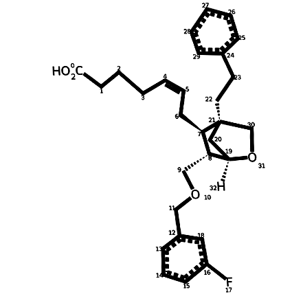 O=C(O)CCC/C=C\C[C@@H]1[C@@H](COCc2cccc(F)c2)[C@H]2C[C@]1(CCc1ccccc1)CO2